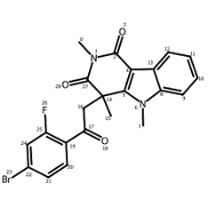 CN1C(=O)c2c(n(C)c3ccccc23)C(C)(CC(=O)c2ccc(Br)cc2F)C1=O